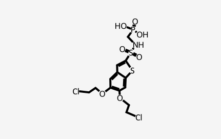 O=P(O)(O)CNS(=O)(=O)c1cc2cc(OCCCl)c(OCCCl)cc2s1